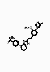 CCCCC(=O)c1ccc([C@@H]2CCCn3nc(/C=C/c4ccc(-n5cnc(C)c5)c(OC)c4)nc32)cc1